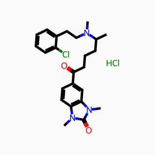 CC(CCCC(=O)c1ccc2c(c1)n(C)c(=O)n2C)N(C)CCc1ccccc1Cl.Cl